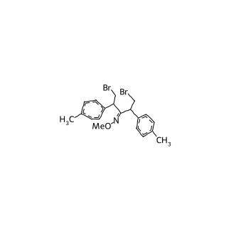 CON=C(C(CBr)c1ccc(C)cc1)C(CBr)c1ccc(C)cc1